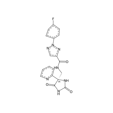 O=C1NC(=O)[C@@](CNC(=O)c2cnn(-c3ccc(F)cc3)n2)(c2ccccn2)N1